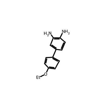 CCOc1ccc(-c2ccc(N)c(N)c2)cc1